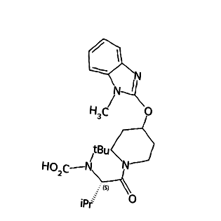 CC(C)[C@@H](C(=O)N1CCC(Oc2nc3ccccc3n2C)CC1)N(C(=O)O)C(C)(C)C